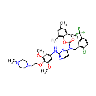 COc1cc(Nc2nccc(N(Cc3cc(C(F)(F)F)ccc3Cl)C(=O)Oc3c(C)cc(C)cc3C)n2)cc(OC)c1OCCN1CCN(C)CC1